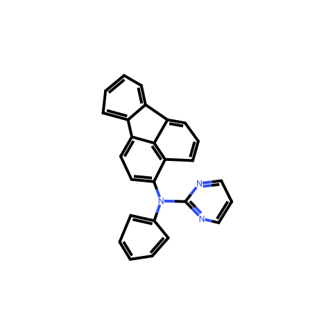 c1ccc(N(c2ncccn2)c2ccc3c4c(cccc24)-c2ccccc2-3)cc1